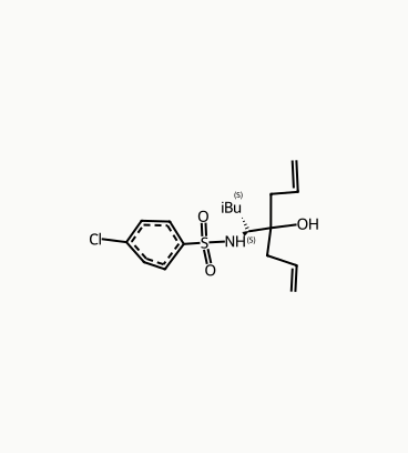 C=CCC(O)(CC=C)[C@@H](NS(=O)(=O)c1ccc(Cl)cc1)[C@@H](C)CC